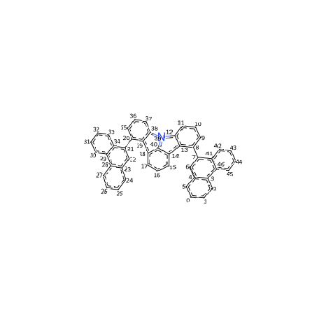 c1ccc2c(c1)cc(-c1cccc3c1c1cccc4c5c(-c6cc7ccccc7c7ccccc67)cccc5n3c14)c1ccccc12